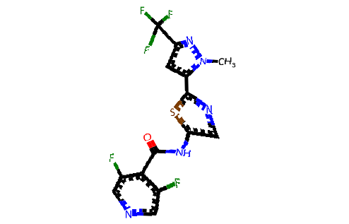 Cn1nc(C(F)(F)F)cc1-c1ncc(NC(=O)c2c(F)cncc2F)s1